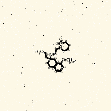 CCCC1(NCCN2CCCCS2(=O)=O)CCc2cccc(OC)c2C1.Cl